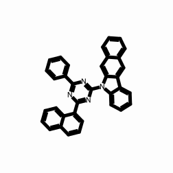 c1ccc(-c2nc(-c3cccc4ccccc34)nc(-n3c4ccccc4c4cc5ccccc5cc43)n2)cc1